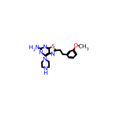 COc1cccc(CCc2nc3c(N4CCNCC4)nc(N)nc3s2)c1